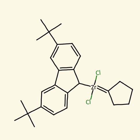 CC(C)(C)c1ccc2c(c1)-c1cc(C(C)(C)C)ccc1[CH]2[Zr]([Cl])([Cl])=[C]1CCCC1